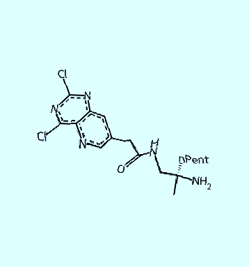 CCCCC[C@@](C)(N)CNC(=O)Cc1cnc2c(Cl)nc(Cl)nc2c1